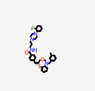 Cc1cccc(CN2COC/C(=C\c3ccc(C(=O)NCCCN4CCN(c5ccccc5F)CC4)cc3)Sc3ccccc32)c1